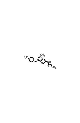 C=CC(=O)Nc1cnc2c(c1)c(C)cn2Cc1ccc(C(F)(F)F)cc1